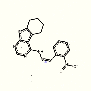 O=[N+]([O-])c1ccccc1/C=N\Nc1ncnc2sc3c(c12)CCCC3